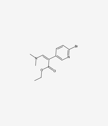 CCOC(=O)C(=CN(C)C)c1ccc(Br)nc1